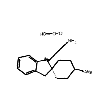 CO[C@H]1CC[C@]2(CC1)Cc1ccccc1C21COC(N)=N1.O=CO